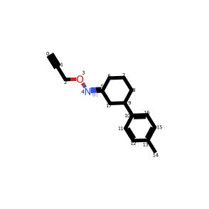 C#CCO/N=C1\CCCC(c2ccc(C)cc2)C1